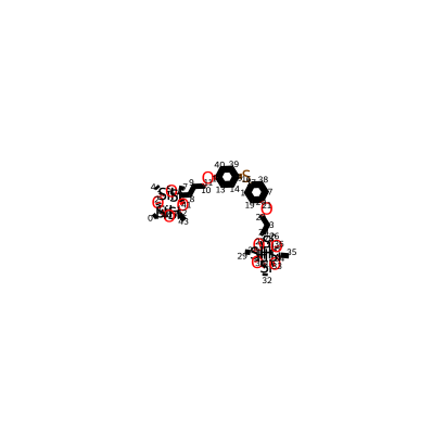 C[SiH]1O[SiH](C)O[Si](C)(CCCOc2ccc(Sc3ccc(OCCC[Si]4(C)O[SiH](C)O[SiH](C)O[SiH](C)O4)cc3)cc2)O[SiH](C)O1